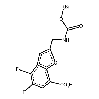 CC(C)(C)OC(=O)NCc1cc2c(F)c(F)cc(C(=O)O)c2o1